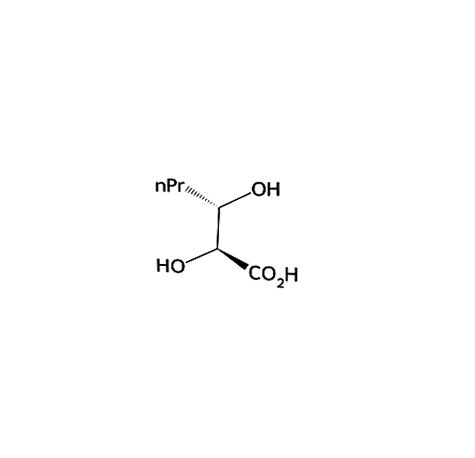 CCC[C@H](O)[C@H](O)C(=O)O